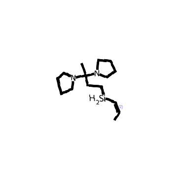 C/C=C\[SiH2]CCC(C)(N1CCCC1)N1CCCC1